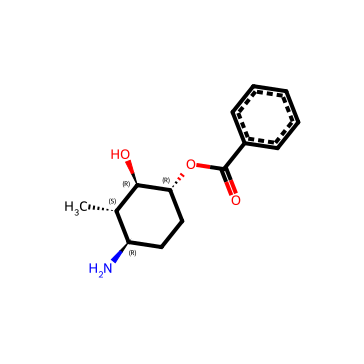 C[C@@H]1[C@@H](O)[C@H](OC(=O)c2ccccc2)CC[C@H]1N